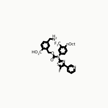 CCCCCCCCc1ccc(N(C(=O)OCc2cc(CN)ccc2C(=O)O)c2nc(-c3cccnc3)c(F)s2)cc1C(F)(F)F